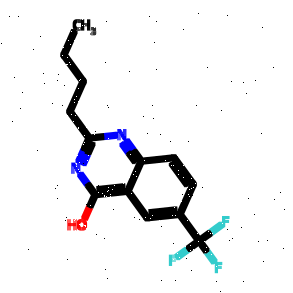 CCCCc1nc(O)c2cc(C(F)(F)F)ccc2n1